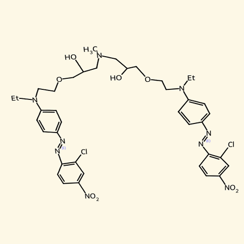 CCN(CCOCC(O)CN(C)CC(O)COCCN(CC)c1ccc(/N=N/c2ccc([N+](=O)[O-])cc2Cl)cc1)c1ccc(/N=N/c2ccc([N+](=O)[O-])cc2Cl)cc1